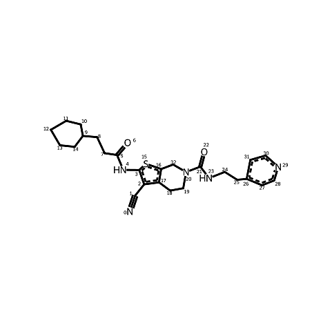 N#Cc1c(NC(=O)CCC2CCCCC2)sc2c1CCN(C(=O)NCCc1ccncc1)C2